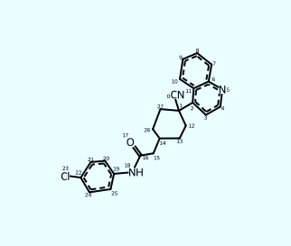 N#CC1(c2ccnc3ccccc23)CCC(CC(=O)Nc2ccc(Cl)cc2)CC1